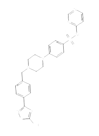 Cc1nc(-c2ccc(CN3CCN(c4ccc(S(=O)(=O)Nc5ccncn5)cc4)CC3)cc2)no1